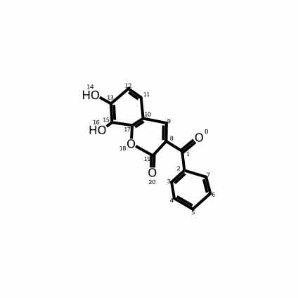 O=C(c1ccccc1)c1cc2ccc(O)c(O)c2oc1=O